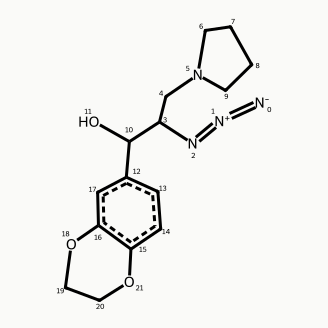 [N-]=[N+]=NC(CN1CCCC1)C(O)c1ccc2c(c1)OCCO2